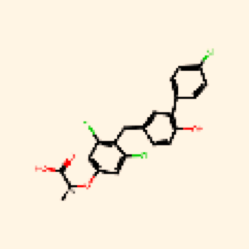 C[C@H](Oc1cc(Cl)c(Cc2ccc(O)c(-c3ccc(Cl)cc3)c2)c(Cl)c1)C(=O)O